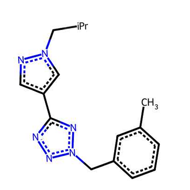 Cc1cccc(Cn2nnc(-c3cnn(CC(C)C)c3)n2)c1